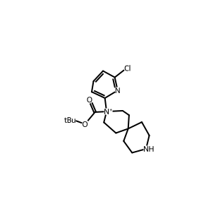 CC(C)(C)OC(=O)[N+]1(c2cccc(Cl)n2)CCC2(CCNCC2)CC1